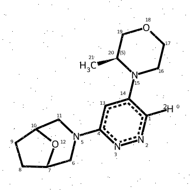 [2H]c1nnc(N2CC3CCC(C2)O3)cc1N1CCOC[C@@H]1C